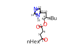 CCCCCCC(=O)CCC(=O)OCC(Cc1cncn1C)C(C)CC